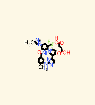 Cc1cn(-c2cc(NC(=O)c3ccc(C)c(Nc4nccc(-c5cccnc5)n4)c3)cc(C(F)(F)F)c2)cn1.O=C(O)CCC(=O)O